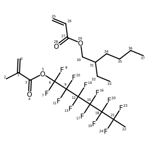 C=C(C)C(=O)OC(F)(F)C(F)(F)C(F)(F)C(F)(F)C(F)(F)C(C)(F)F.C=CC(=O)OCC(CC)CCCC